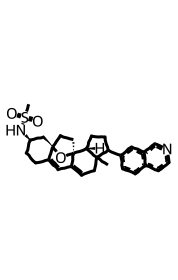 CC12CC=C3C=C4CC[C@@H](NS(C)(=O)=O)C[C@]45CC[C@]3(O5)[C@@H]1CCC2c1ccc2ccncc2c1